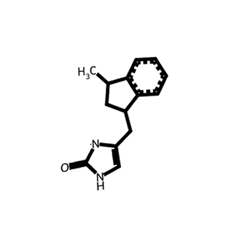 CC1CC(CC2=CNC(=O)[N]2)c2ccccc21